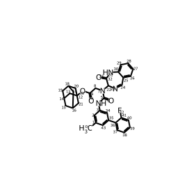 Cc1cc(NC(=O)N(CC(=O)OC23CC4CC(CC(C4)C2)C3)C2N=Cc3ccccc3NC2=O)cc(-c2ccccc2F)c1